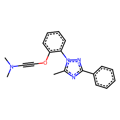 Cc1nc(-c2ccccc2)nn1-c1ccccc1OC#CN(C)C